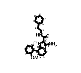 COc1cccc(F)c1-c1cccn2c(N)c(C(=O)NCCc3ccccc3)nc12